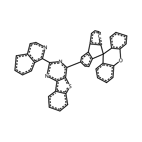 c1ccc2c(c1)Oc1ccccc1C21c2ccccc2-c2cc(-c3nc(-c4nccc5ccccc45)nc4c3sc3ccccc34)ccc21